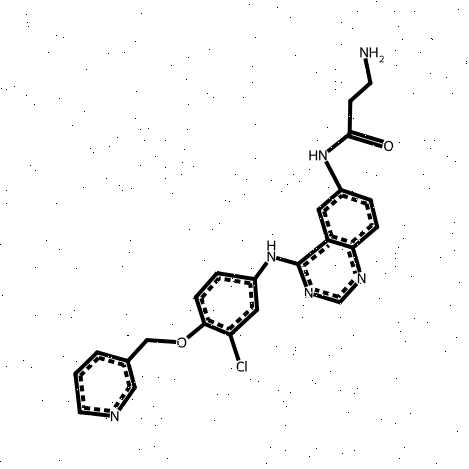 NCCC(=O)Nc1ccc2ncnc(Nc3ccc(OCc4cccnc4)c(Cl)c3)c2c1